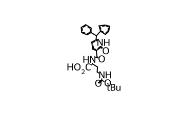 CC(C)(C)OC(=O)NCC[C@H](NC(=O)c1ccc(C(c2ccccc2)c2ccccc2)[nH]c1=O)C(=O)O